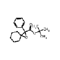 CC(C)(C)OC(=O)C1(c2ccccc2)OC12CCCCC2